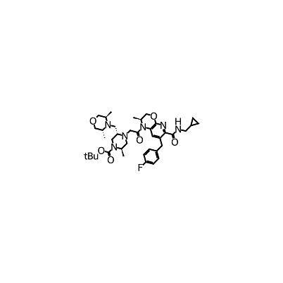 C[C@@H]1CN(CC(=O)N2c3cc(Cc4ccc(F)cc4)c(C(=O)NCC4CC4)nc3OC[C@@H]2C)[C@@H](CN2[C@H](C)COC[C@H]2C)CN1C(=O)OC(C)(C)C